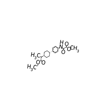 CCOC(=O)C(C)[C@H]1CC[C@H](c2ccc(NC(=O)C(=O)OC)cc2)CC1